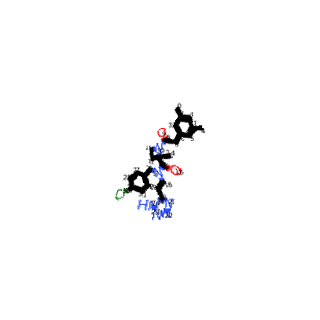 Cc1cc(C)cc(CC(=O)N2CCC2(C)C(=O)N(CCc2nnn[nH]2)Cc2ccc(Cl)cc2)c1